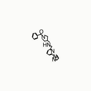 O=C(c1ccccc1)N1CCC(CNCc2cccc(-n3cccn3)n2)CC1